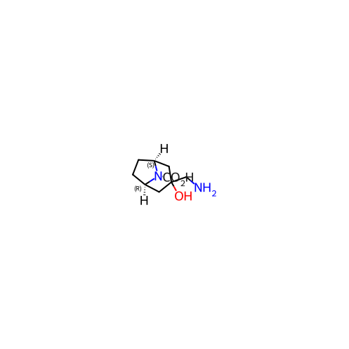 NCC1(O)C[C@H]2CC[C@@H](C1)N2C(=O)O